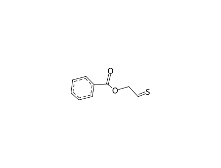 O=C(OCC=S)c1ccccc1